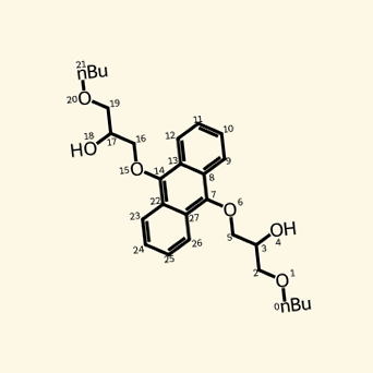 CCCCOCC(O)COc1c2ccccc2c(OCC(O)COCCCC)c2ccccc12